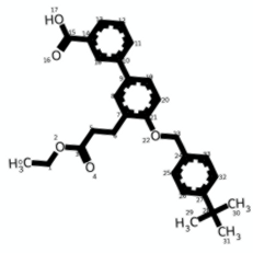 CCOC(=O)CCc1cc(-c2cccc(C(=O)O)c2)ccc1OCc1ccc(C(C)(C)C)cc1